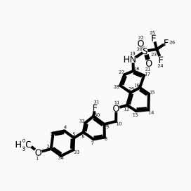 COc1ccc(-c2ccc(COc3cccc4cc(NS(=O)(=O)C(F)(F)F)ccc34)c(F)c2)cc1